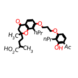 CCCc1c(OCCCOc2ccc3c(c2CCC)OC(C)(CCC(C)C(=O)O)CC3=O)ccc(C(C)=O)c1O